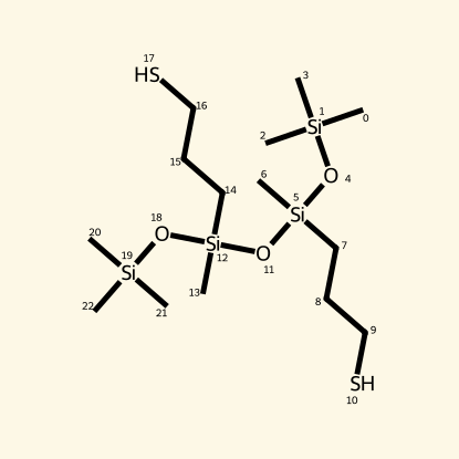 C[Si](C)(C)O[Si](C)(CCCS)O[Si](C)(CCCS)O[Si](C)(C)C